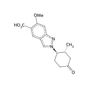 COc1cc2nn([C@@H]3CCC(=O)C[C@H]3C)cc2cc1C(=O)O